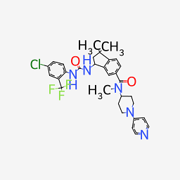 CN(C(=O)c1ccc2c(c1)C(NC(=O)Nc1ccc(Cl)cc1C(F)(F)F)CC2(C)C)C1CCN(c2ccncc2)CC1